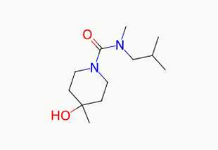 CC(C)CN(C)C(=O)N1CCC(C)(O)CC1